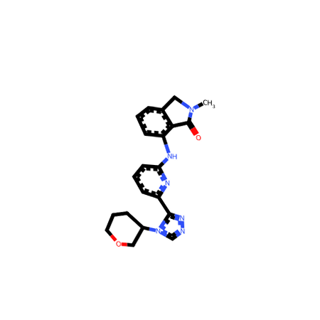 CN1Cc2cccc(Nc3cccc(-c4nncn4C4CCCOC4)n3)c2C1=O